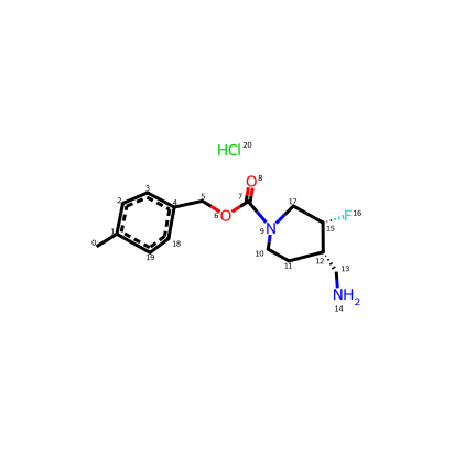 Cc1ccc(COC(=O)N2CC[C@@H](CN)[C@@H](F)C2)cc1.Cl